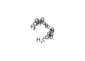 Cc1ccc(S(=O)(=O)Oc2cc(C3CCN([C@H]4CC[C@@](C(=O)N5COc6ccc(C(F)F)cc6C5)(C(C)C)C4)CC3)on2)cc1